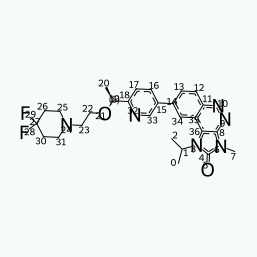 CC(C)n1c(=O)n(C)c2nnc3ccc(-c4ccc([C@H](C)OCCN5CCC(F)(F)CC5)nc4)cc3c21